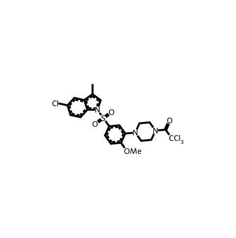 COc1ccc(S(=O)(=O)n2cc(C)c3cc(Cl)ccc32)cc1N1CCN(C(=O)C(Cl)(Cl)Cl)CC1